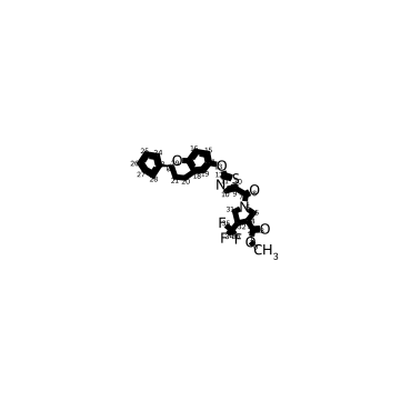 COC(=O)C1CN(C(=O)c2cnc(Oc3ccc4c(c3)CC[C@@H](c3ccccc3)O4)s2)CC1C(F)(F)F